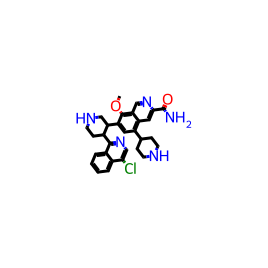 COc1c(C2CNCCC2c2ncc(Cl)c3ccccc23)cc(C2CCNCC2)c2cc(C(N)=O)ncc12